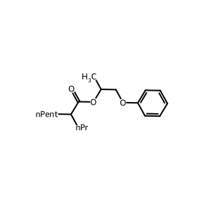 CCCCCC(CCC)C(=O)OC(C)COc1ccccc1